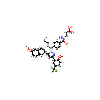 CCCC[C@@H](c1ccc(C(=O)NCCC(=O)O)cc1)n1nc(-c2cc(C(F)(F)F)ccc2OC)cc1-c1ccc2cc(OC)ccc2c1